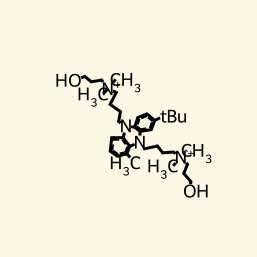 Cc1cccc2c1N(CCCC[N+](C)(C)CCCO)c1cc(C(C)(C)C)ccc1N2CCCC[N+](C)(C)CCCO